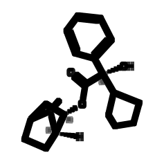 CN1C2CC[C@@H]1[C@@H](OC(=O)[C@@](O)(c1ccccc1)C1CCCC1)C2